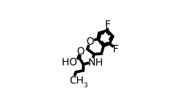 CCCC(NC1COc2cc(F)cc(F)c2C1)C(=O)O